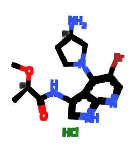 CO[C@H](C)C(=O)Nc1c[nH]c2ncc(Br)c(N3CC[C@@H](N)C3)c12.Cl